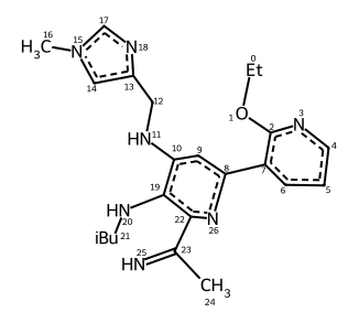 CCOc1ncccc1-c1cc(NCc2cn(C)cn2)c(NC(C)CC)c(C(C)=N)n1